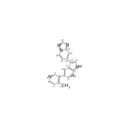 Cc1ccncc1-c1cnc2[nH]cc(-c3ccn4ncnc4c3)c2c1